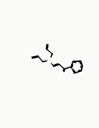 C=CCN(C=CC(=O)c1ccccc1)CC=C